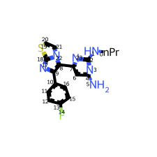 CCCNc1nc(N)cc(-c2c(-c3ccc(F)cc3)nc3sccn23)n1